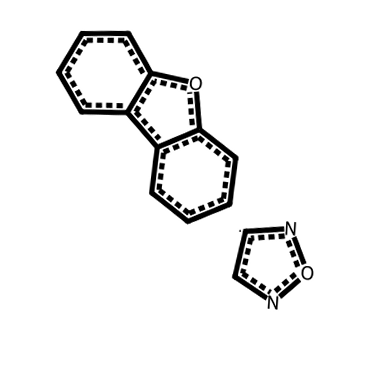 [c]1cnon1.c1ccc2c(c1)oc1ccccc12